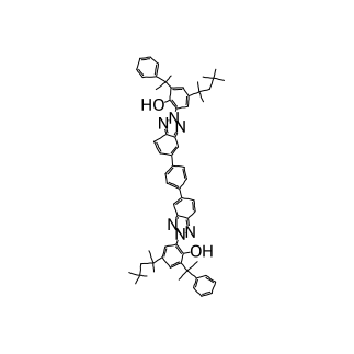 CC(C)(C)CC(C)(C)c1cc(-n2nc3ccc(-c4ccc(-c5ccc6nn(-c7cc(C(C)(C)CC(C)(C)C)cc(C(C)(C)c8ccccc8)c7O)nc6c5)cc4)cc3n2)c(O)c(C(C)(C)c2ccccc2)c1